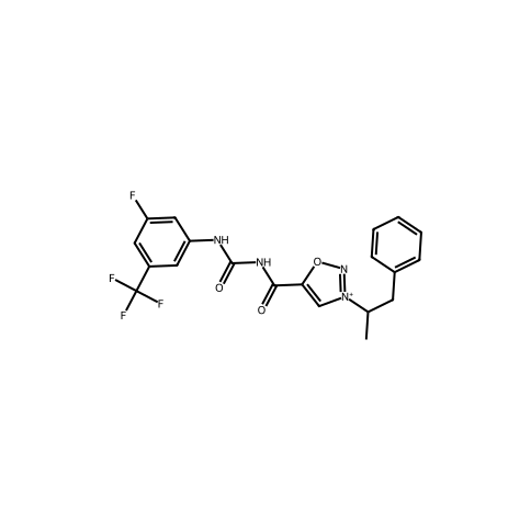 CC(Cc1ccccc1)[n+]1cc(C(=O)NC(=O)Nc2cc(F)cc(C(F)(F)F)c2)on1